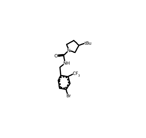 CC(C)(C)C1CCN(C(=O)NCc2ccc(Br)cc2C(F)(F)F)C1